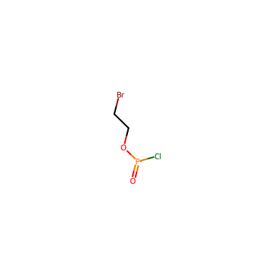 O=[P](Cl)OCCBr